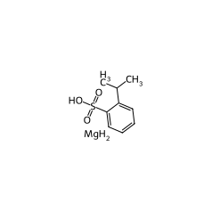 CC(C)c1ccccc1S(=O)(=O)O.[MgH2]